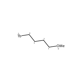 COCCC[CH2][Tb]